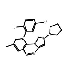 CC1=CC2=C(N3CN(N4CCCC4)C=C3N=N2)N(c2cc(Cl)ccc2Cl)C1